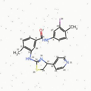 Cc1ccc(NC(=O)c2ccc(C)c(NC3=NC(c4ccncc4)CS3)c2)cc1I